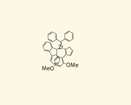 COc1ccc(C2=[C]([Zr](=[C](c3ccccc3)c3ccccc3)[CH]3c4ccccc4-c4ccccc43)CC=C2)c(OC)c1